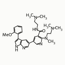 COc1ccccc1-c1c[nH]c2ncc(-c3cnc(N(C)CCN(C)C)c(C(=O)NCCN(C)C)c3)cc12